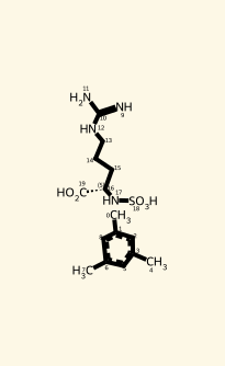 Cc1cc(C)cc(C)c1.N=C(N)NCCC[C@H](NS(=O)(=O)O)C(=O)O